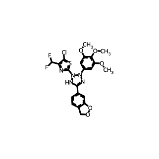 COc1cc(N2N=C(c3ccc4c(c3)OOC4)NN2c2nc(C(F)F)c(Cl)s2)cc(OC)c1OC